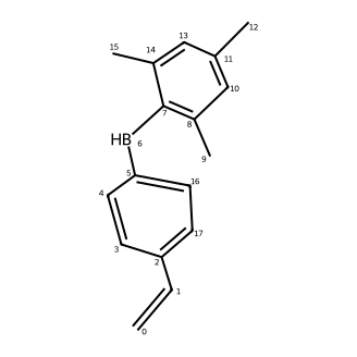 C=Cc1ccc(Bc2c(C)cc(C)cc2C)cc1